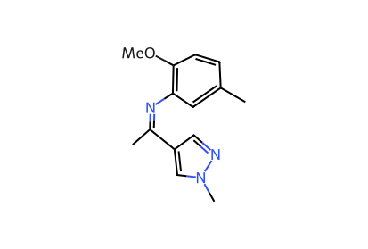 COc1ccc(C)cc1N=C(C)c1cnn(C)c1